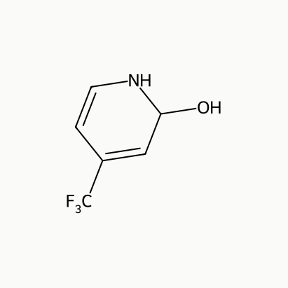 OC1C=C(C(F)(F)F)C=CN1